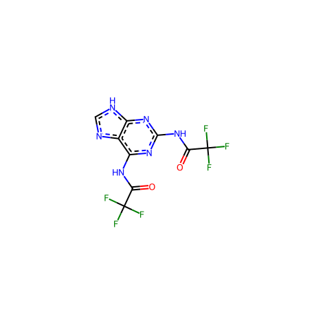 O=C(Nc1nc(NC(=O)C(F)(F)F)c2nc[nH]c2n1)C(F)(F)F